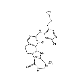 C[C@@H]1CNC(=O)c2c1[nH]c1c2CCc2cnc(Nc3nc(Cl)ncc3COC3CC3)c(F)c2-1